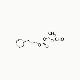 CC(OC=O)OC(=O)OCCCc1ccccc1